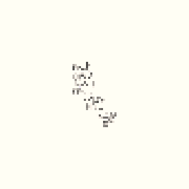 CS(=O)(=O)c1ccc(NC(=O)N2CCC(C(=O)/C(=N/O)Nc3ccc(F)c(Br)c3)CC2)c(F)c1